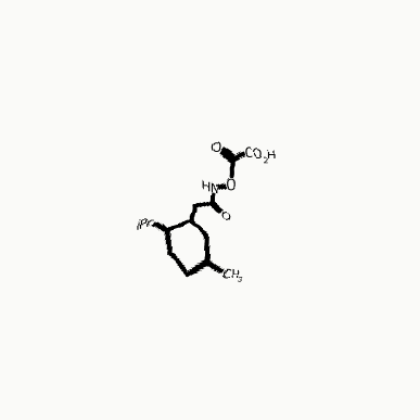 CC1CCC(C(C)C)C(CC(=O)NOC(=O)C(=O)O)C1